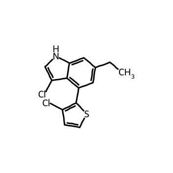 CCc1cc(-c2sccc2Cl)c2c(Cl)c[nH]c2c1